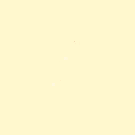 C=C/C(S)=C\C=C\C